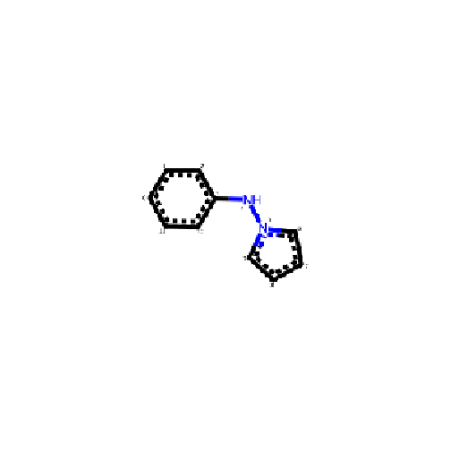 c1ccc(Nn2cccc2)cc1